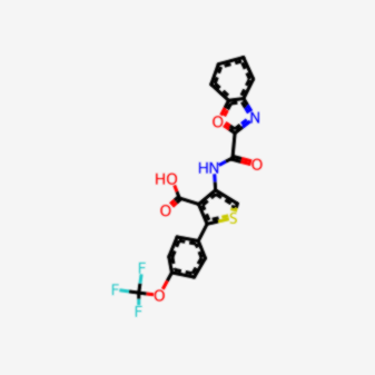 O=C(Nc1csc(-c2ccc(OC(F)(F)F)cc2)c1C(=O)O)c1nc2ccccc2o1